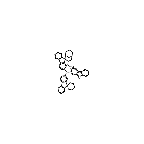 CCC1CC2CCCC(C2)C12c1ccccc1-c1ccc(N(c3ccc4c(c3)C3(CCCCC3)c3ccccc3-4)c3ccc4c(c3)oc3ccccc34)cc12